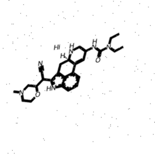 CCN(CC)C(=O)NC1C=C2c3cccc4[nH]c(C(C#N)C5CN(C)CCO5)c(c34)C[C@H]2NC1.I